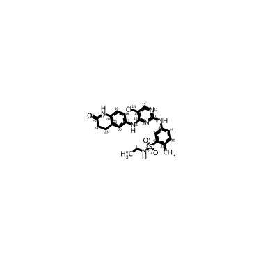 CCNS(=O)(=O)c1cc(Nc2ncc(Cl)c(Nc3ccc4c(c3)CCC(=O)N4)n2)ccc1C